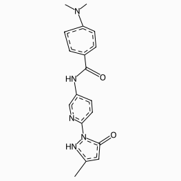 Cc1cc(=O)n(-c2ccc(NC(=O)c3ccc(N(C)C)cc3)cn2)[nH]1